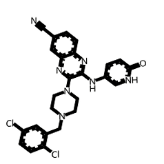 N#Cc1ccc2nc(Nc3ccc(=O)[nH]c3)c(N3CCN(Cc4cc(Cl)ccc4Cl)CC3)nc2c1